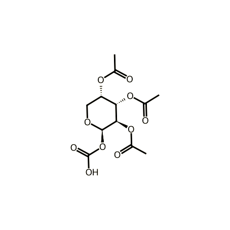 CC(=O)O[C@@H]1[C@@H](OC(C)=O)[C@@H](OC(=O)O)OC[C@@H]1OC(C)=O